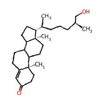 CC(CCC[C@H](C)CO)[C@H]1CCC2C3CCC4=CC(=O)CC[C@]4(C)C3CC[C@@]21C